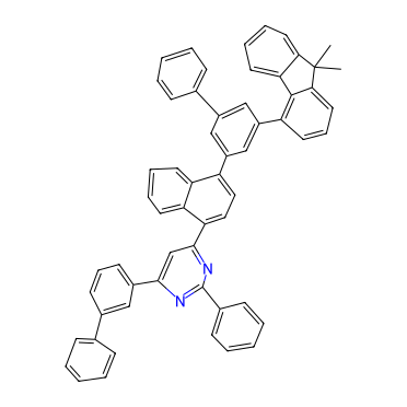 CC1(C)c2ccccc2-c2c(-c3cc(-c4ccccc4)cc(-c4ccc(-c5cc(-c6cccc(-c7ccccc7)c6)nc(-c6ccccc6)n5)c5ccccc45)c3)cccc21